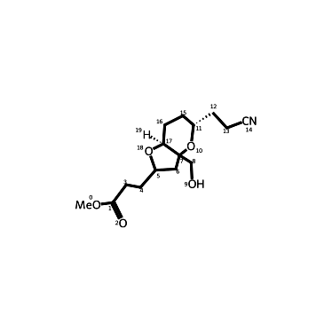 COC(=O)CCC1CC2(CO)O[C@@H](CCC#N)CC[C@@H]2O1